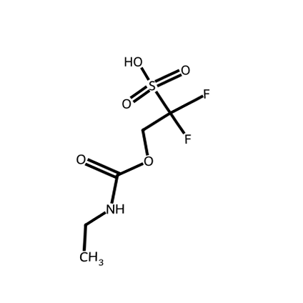 CCNC(=O)OCC(F)(F)S(=O)(=O)O